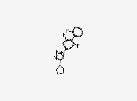 Fc1ccccc1-c1c(F)cc(-n2cc(C3CCCC3)nn2)cc1F